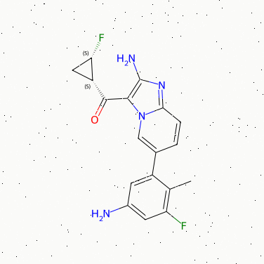 Cc1c(F)cc(N)cc1-c1ccc2nc(N)c(C(=O)[C@@H]3C[C@@H]3F)n2c1